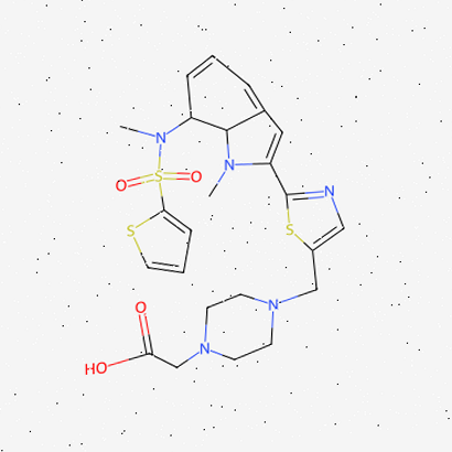 CN1C(c2ncc(CN3CCN(CC(=O)O)CC3)s2)=CC2=CC=CC(N(C)S(=O)(=O)c3cccs3)C21